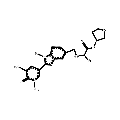 CCn1c(-c2cc(C)c(=O)n(C)c2)nc2cc(CNC(C(=O)O[C@H]3CCOC3)C(C)C)ccc21